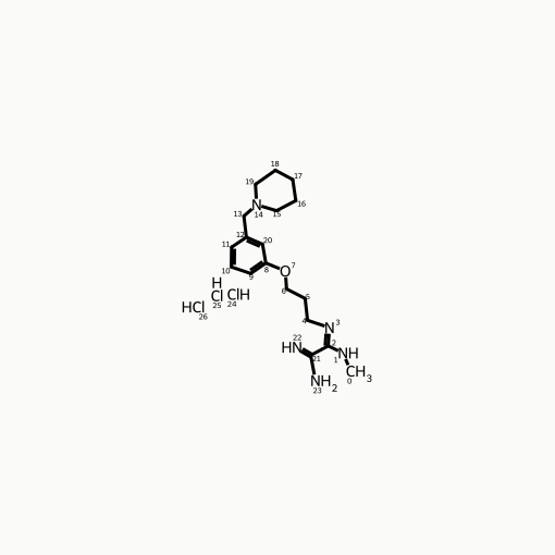 CN/C(=N/CCCOc1cccc(CN2CCCCC2)c1)C(=N)N.Cl.Cl.Cl